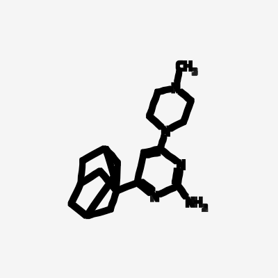 CN1CCN(c2cc(C34CC5CC(CC(C5)C3)C4)nc(N)n2)CC1